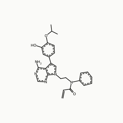 C=CC(=O)N(CCn1cc(-c2ccc(OC(C)C)c(O)c2)c2c(N)ncnc21)c1ccccc1